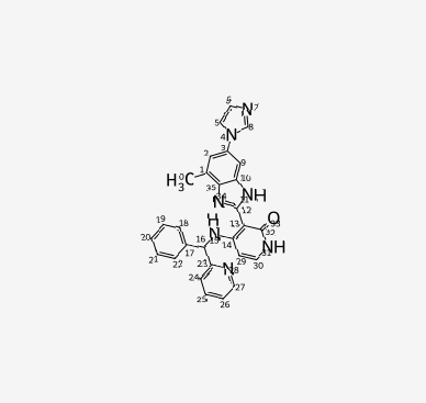 Cc1cc(-n2ccnc2)cc2[nH]c(-c3c(NC(c4ccccc4)c4ccccn4)cc[nH]c3=O)nc12